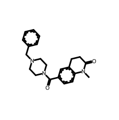 CN1C(=O)CCc2cc(C(=O)N3CCN(Cc4ccccc4)CC3)ccc21